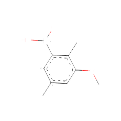 COc1cc(C)cc(B(O)O)c1C